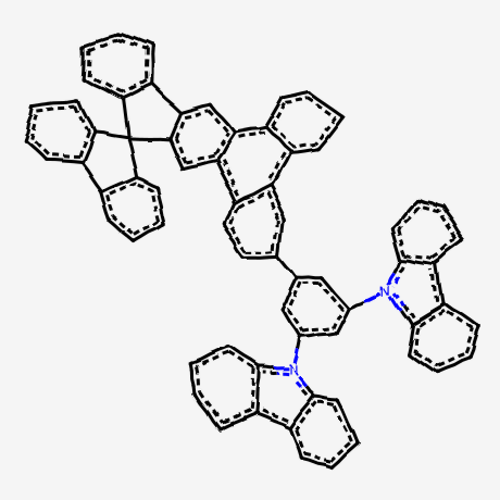 c1ccc2c(c1)-c1ccccc1C21c2ccccc2-c2cc3c4ccccc4c4cc(-c5cc(-n6c7ccccc7c7ccccc76)cc(-n6c7ccccc7c7ccccc76)c5)ccc4c3cc21